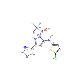 CN(c1ccc(Cl)s1)c1cc(C2CCCN2)nn1C(=O)C(C)(C)C